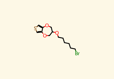 BrCCCCCCOC1COc2cscc2OC1